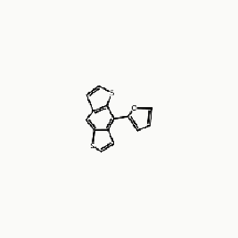 c1coc(-c2c3ccsc3cc3ccsc23)c1